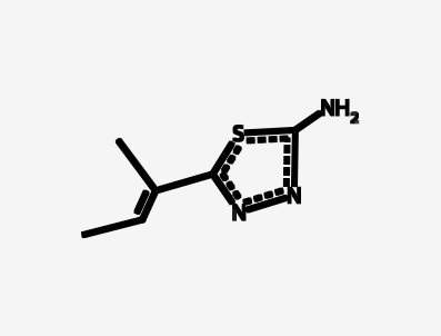 CC=C(C)c1nnc(N)s1